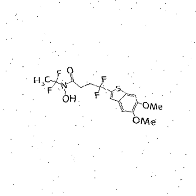 COc1cc2cc(C(F)(F)CCC(=O)N(O)C(C)(F)F)sc2cc1OC